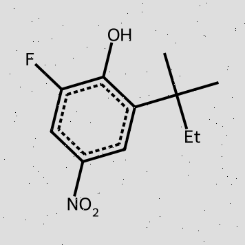 CCC(C)(C)c1cc([N+](=O)[O-])cc(F)c1O